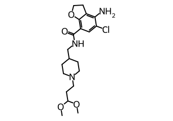 COC(CCN1CCC(CNC(=O)c2cc(Cl)c(N)c3c2OCC3)CC1)OC